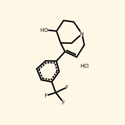 Cl.OC1CCN2CC=C(c3cccc(C(F)(F)F)c3)C1C2